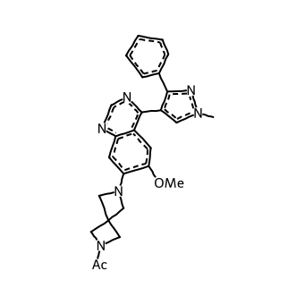 COc1cc2c(-c3cn(C)nc3-c3ccccc3)ncnc2cc1N1CC2(CN(C(C)=O)C2)C1